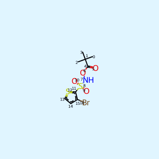 CC(C)(C)C(=O)ONS(=O)(=O)c1sccc1Br